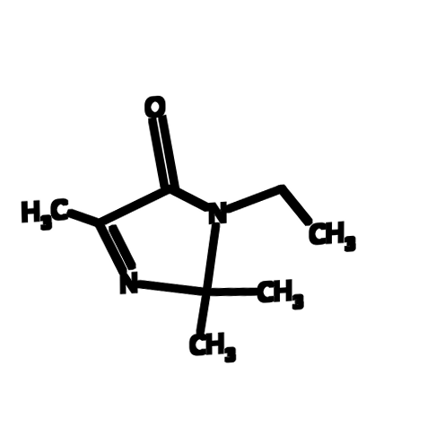 CCN1C(=O)C(C)=NC1(C)C